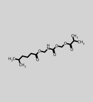 CC(C)CCCC(=O)OCNC(=O)OCOC(=O)C(C)C